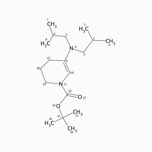 CC(C)CN(CC(C)C)C1=CN(C(=O)OC(C)(C)C)CCC1